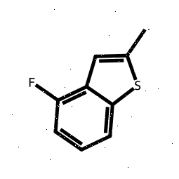 [CH2]c1cc2c(F)cccc2s1